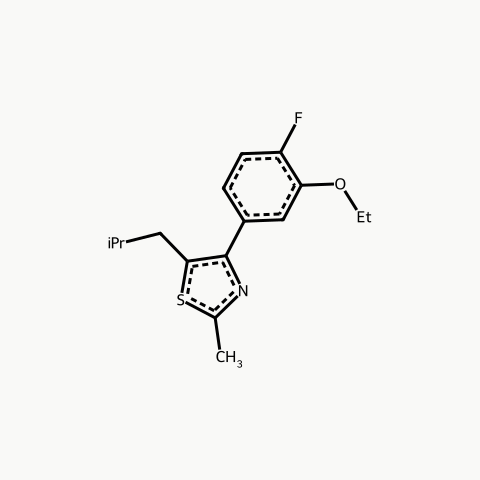 CCOc1cc(-c2nc(C)sc2CC(C)C)ccc1F